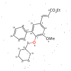 CCOC(=O)C=Cc1cc(OC)c(OCC2CCCCC2)c(-c2ccccc2)c1